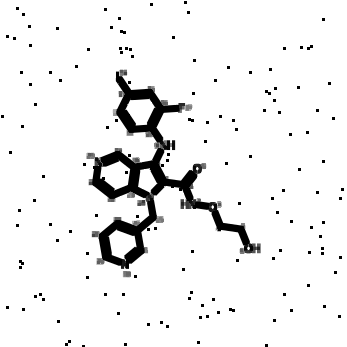 O=C(NOCCO)c1c(Nc2ccc(I)cc2F)c2cnccc2n1Cc1cccnc1